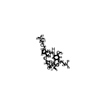 C=CC(=O)Nc1cc(Nc2nc(OC3CN(S(C)(=O)=O)C3)c3ccn(COCC[Si](C)(C)C)c3n2)c(OC)cc1N(C)CCN(C)C